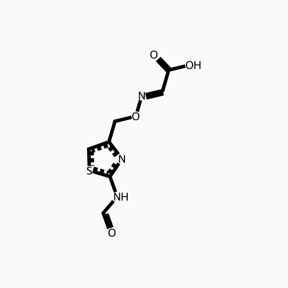 O=CNc1nc(CON=CC(=O)O)cs1